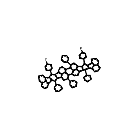 Fc1ccc(-c2c3c4cccc5cccc(c3c(-c3ccccc3)c3c6cc(-c7ccccc7)c7c8ccc9c%10c(-c%11ccccc%11)c%11c%12cccc%13cccc(c%11c(-c%11ccc(F)cc%11)c%10c%10cc(-c%11ccccc%11)c(c%11ccc(c23)c6c%117)c8c9%10)c%13%12)c54)cc1